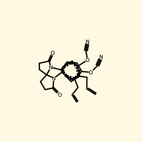 C=CCc1cc(N2C(=O)CCC23CCC(=O)N3c2ccc(OC#N)c(CC=C)c2)ccc1OC#N